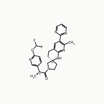 Cc1nc2c(cc1-c1ncccn1)CC[C@@]1(CCN(C(=O)[C@@H](C)c3ccc(OC(F)F)nc3)C1)N2